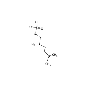 CN(C)CCCCSS(=O)(=O)[O-].[Na+]